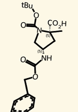 CC(C)(C)OC(=O)N1C[C@@H](NC(=O)OCc2ccccc2)C[C@@]1(C)C(=O)O